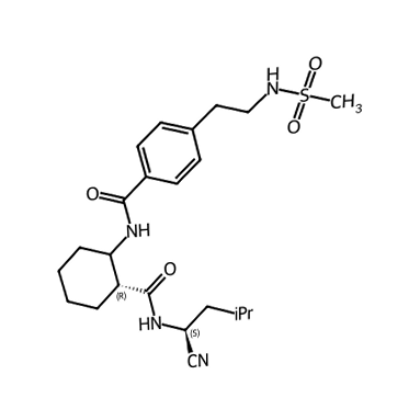 CC(C)C[C@@H](C#N)NC(=O)[C@@H]1CCCCC1NC(=O)c1ccc(CCNS(C)(=O)=O)cc1